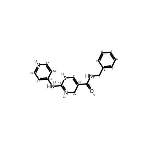 O=C(NCc1ccccc1)C1=CSC(Nc2ccncc2)=NC1